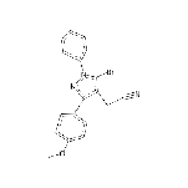 COc1ccc(-c2nn(-c3ccccc3)c(Br)c2CC#N)cc1